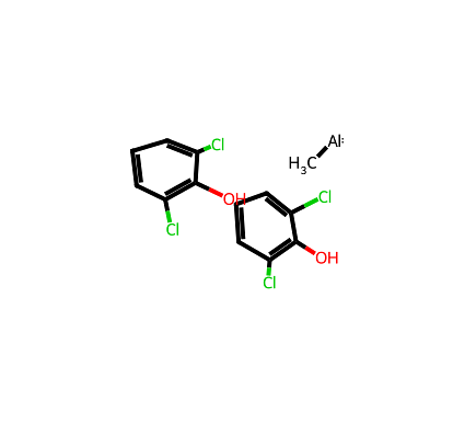 Oc1c(Cl)cccc1Cl.Oc1c(Cl)cccc1Cl.[CH3][Al]